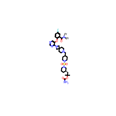 CC(C)N(C(=O)c1cc(F)ccc1Oc1cncnc1N1CC2(CCN(CC3CCN(S(=O)(=O)N4CCC[C@H](CC(C)(C)OC(N)=O)C4)CC3)CC2)C1)C(C)C